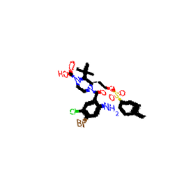 Cc1ccc(S(=O)(=O)OCC[C@H]2C(C(C)(C)C)N(C(=O)O)CCN2C(=O)c2cc(Cl)c(Br)cc2N)cc1